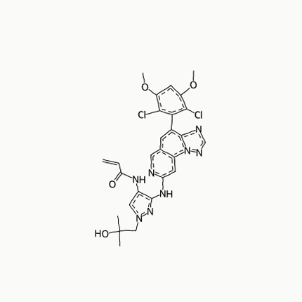 C=CC(=O)Nc1cn(CC(C)(C)O)nc1Nc1cc2c(cn1)cc(-c1c(Cl)c(OC)cc(OC)c1Cl)c1ncnn12